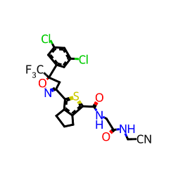 N#CCNC(=O)CNC(=O)c1sc(C2=NOC(c3cc(Cl)cc(Cl)c3)(C(F)(F)F)C2)c2c1CCC2